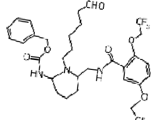 O=CCCCCCN1C(CNC(=O)c2cc(OCC(F)(F)F)ccc2OCC(F)(F)F)CCCC1NC(=O)OCc1ccccc1